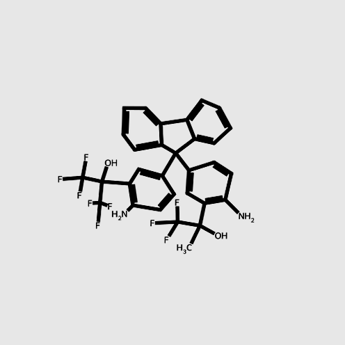 CC(O)(c1cc(C2(c3ccc(N)c(C(O)(C(F)(F)F)C(F)(F)F)c3)c3ccccc3-c3ccccc32)ccc1N)C(F)(F)F